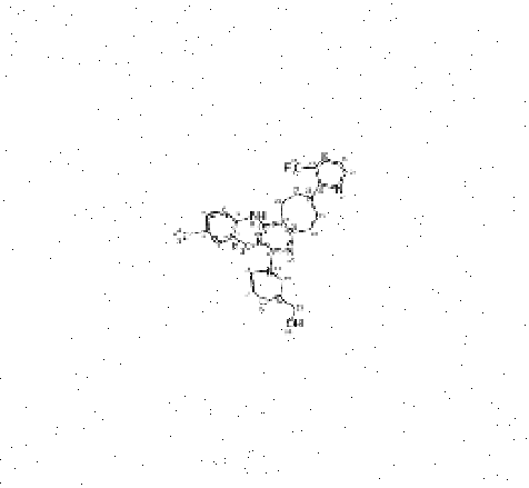 Cc1cc(C(F)(F)F)ccc1Nc1nc(N2CCOC(CO)C2)nc2c1CCN(c1ncccc1C(F)(F)F)CC2